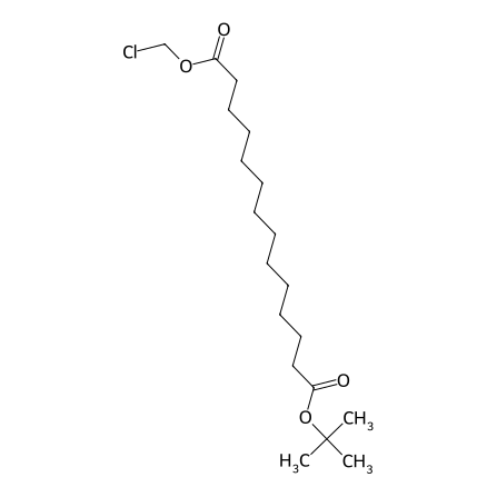 CC(C)(C)OC(=O)CCCCCCCCCCCCC(=O)OCCl